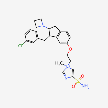 C[N+]1(CCOc2ccc3c(c2)C(Cc2cccc(Cl)c2)C(N2CCC2)C3)C=NC(S(N)(=O)=O)=C1